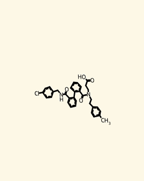 Cc1ccc(CCN(CCC(=O)O)C(=O)c2ccccc2-c2ccccc2C(=O)NCc2ccc(Cl)cc2)cc1